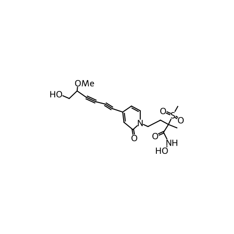 COC(C#CC#Cc1ccn(CCC(C)(C(=O)NO)S(C)(=O)=O)c(=O)c1)CO